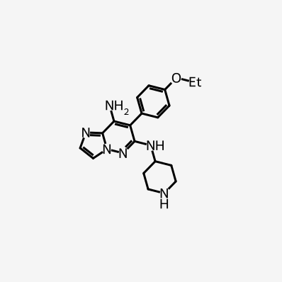 CCOc1ccc(-c2c(NC3CCNCC3)nn3ccnc3c2N)cc1